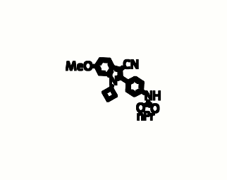 CCCOC(=O)Nc1ccc(-c2c(C#N)c3ccc(OC)cc3n2C2CCC2)cc1